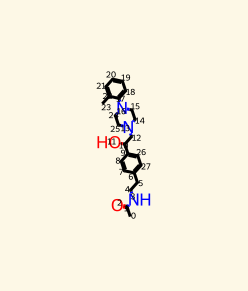 CC(=O)NCCc1ccc(C(O)CN2CCN(c3ccccc3C)CC2)cc1